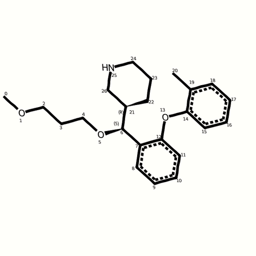 COCCCO[C@H](c1ccccc1Oc1ccccc1C)[C@@H]1CCCNC1